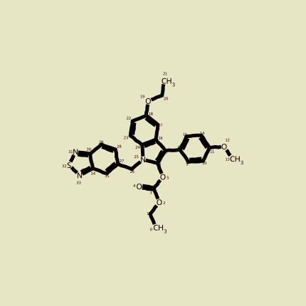 CCOC(=O)Oc1c(-c2ccc(OC)cc2)c2cc(OCC)ccc2n1Cc1ccc2nsnc2c1